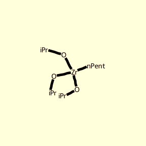 CCCC[CH2][Zr]([O]C(C)C)([O]C(C)C)[O]C(C)C